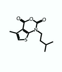 Cc1csc2c1c(=O)oc(=O)n2CCC(C)C